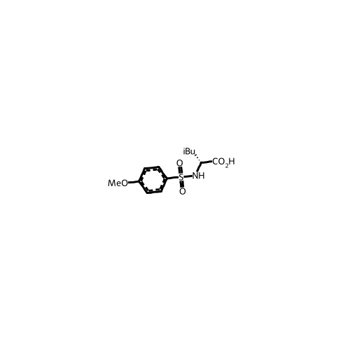 CCC(C)[C@@H](NS(=O)(=O)c1ccc(OC)cc1)C(=O)O